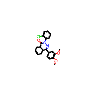 COc1ccc(C2=NN(c3ccccc3Cl)C(=O)C3CC=CCC23)cc1OC